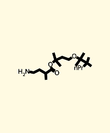 CCCC(C)(C)C(C)(C)OCCC(C)(C)OC(=O)C(C)CCN